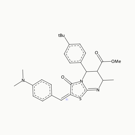 COC(=O)C1C(C)N=c2s/c(=C/c3ccc(N(C)C)cc3)c(=O)n2C1c1ccc(C(C)(C)C)cc1